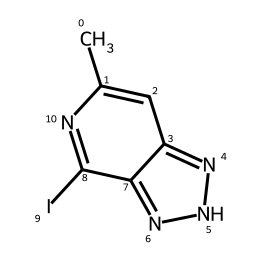 Cc1cc2n[nH]nc2c(I)n1